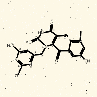 Cc1cc(C#N)cc(C(=O)c2c(C(C)C)c(=O)[nH]c(=O)n2Cc2cc(N)nc(Cl)n2)c1